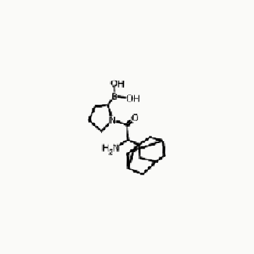 NC(C(=O)N1CCCC1B(O)O)C12CC3CC(CC(C3)C1)C2